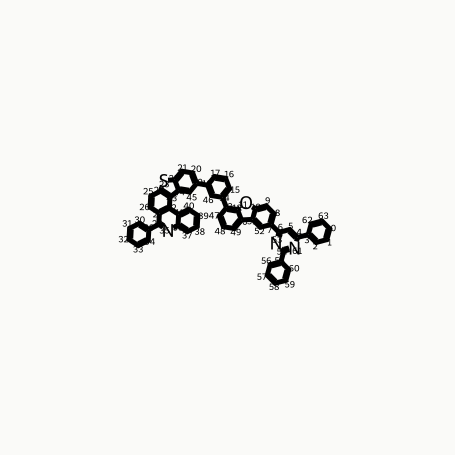 c1ccc(-c2cc(-c3ccc4oc5c(-c6cccc(-c7ccc8sc9ccc%10c(-c%11ccccc%11)nc%11ccccc%11c%10c9c8c7)c6)cccc5c4c3)nc(-c3ccccc3)n2)cc1